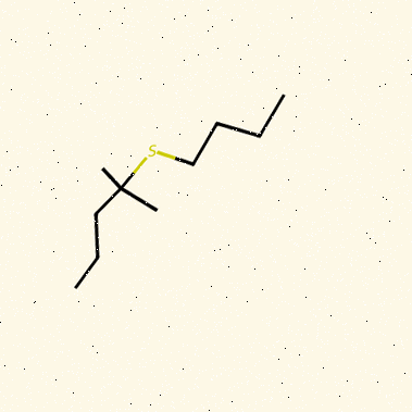 CCCCSC(C)(C)CCC